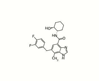 Cc1c(Cc2ccc(F)c(F)c2)cc(C(=O)N[C@H]2CCCC[C@@H]2O)c2nc[nH]c12